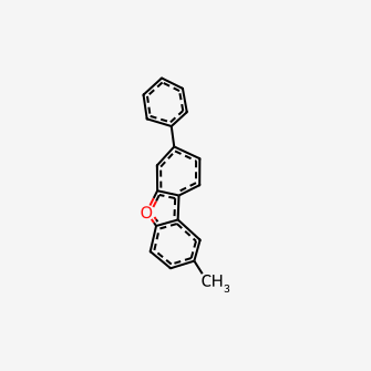 Cc1ccc2oc3cc(-c4ccccc4)ccc3c2c1